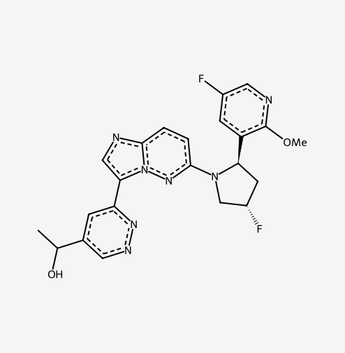 COc1ncc(F)cc1[C@H]1C[C@H](F)CN1c1ccc2ncc(-c3cc(C(C)O)cnn3)n2n1